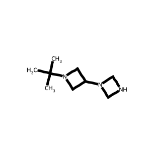 CC(C)(C)N1CC(N2CNC2)C1